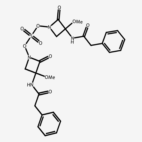 COC1(NC(=O)Cc2ccccc2)CN(OS(=O)(=O)ON2CC(NC(=O)Cc3ccccc3)(OC)C2=O)C1=O